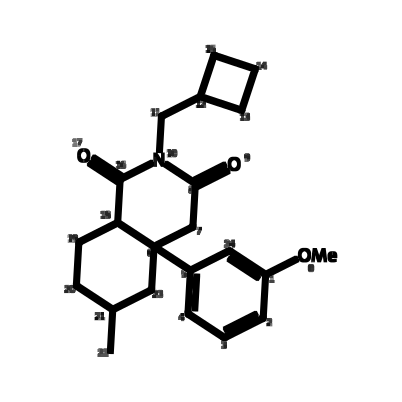 COc1cccc(C23CC(=O)N(CC4CCC4)C(=O)C2CCC(C)C3)c1